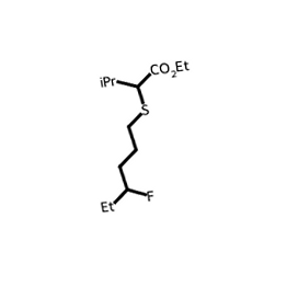 CCOC(=O)C(SCCCC(F)CC)C(C)C